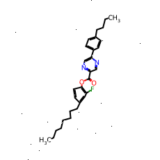 CCCCCCCCc1ccc(OC(=O)c2cnc(-c3ccc(CCCC)cc3)cn2)c(F)c1